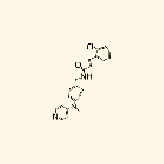 CN(c1ccncc1)c1ccc(CNC(=O)/C=C/c2ccccc2Cl)cc1